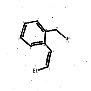 CC/C=[C]\c1ccccc1CC(C)C